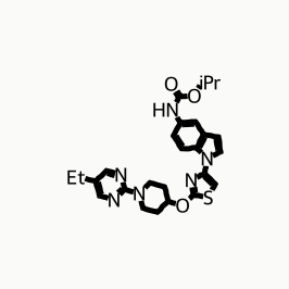 CCc1cnc(N2CCC(Oc3nc(-n4ccc5cc(NC(=O)OC(C)C)ccc54)cs3)CC2)nc1